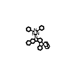 c1ccc(-c2nc(-c3ccccc3)nc(-n3c4cc5ccccc5cc4c4c5c(ccc43)C3(c4ccccc4-5)C4CC5CC(C4)CC3C5)n2)cc1